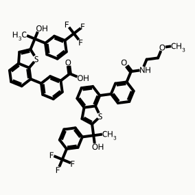 CC(O)(c1cccc(C(F)(F)F)c1)c1cc2cccc(-c3cccc(C(=O)O)c3)c2s1.COCCNC(=O)c1cccc(-c2cccc3cc(C(C)(O)c4cccc(C(F)(F)F)c4)sc23)c1